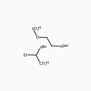 CCCCC(CC)C(=O)O.CCCCCCCCCCCCOS(=O)(=O)O